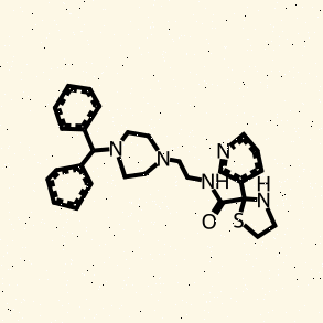 O=C(NCCN1CCN(C(c2ccccc2)c2ccccc2)CC1)C1(c2cccnc2)NCCS1